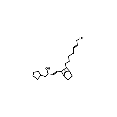 OC/C=C/CCCCC1C2CCC(O2)C1/C=C/C(O)CC1CCCC1